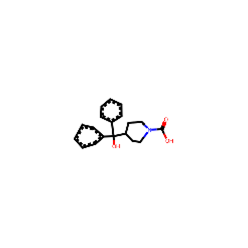 O=C(O)N1CCC(C(O)(c2ccccc2)c2ccccc2)CC1